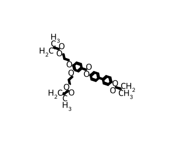 C=C(C)C(=O)OCCCOc1ccc(C(=O)Oc2ccc(-c3ccc(OC(=O)C(=C)C)cc3)cc2)cc1OCCCOC(=O)C(=C)C